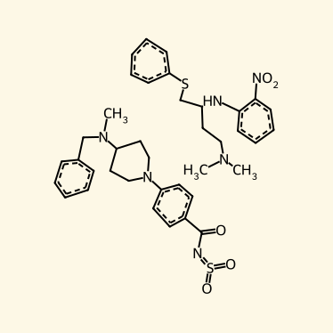 CN(C)CCC(CSc1ccccc1)Nc1ccccc1[N+](=O)[O-].CN(Cc1ccccc1)C1CCN(c2ccc(C(=O)N=S(=O)=O)cc2)CC1